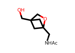 CC(=O)NCC12CC(CO)(CO1)C2